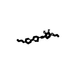 CCCC[C@H]1CC[C@H]([C@H]2CC[C@H](C#Cc3ccc(OCCC)c(F)c3F)CC2)CC1